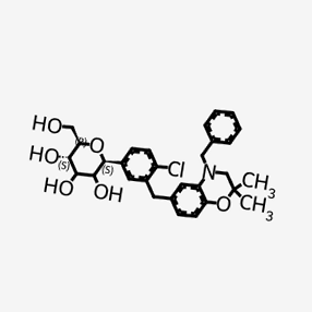 CC1(C)CN(Cc2ccccc2)c2cc(Cc3cc([C@@H]4O[C@H](CO)[C@@H](O)C(O)C4O)ccc3Cl)ccc2O1